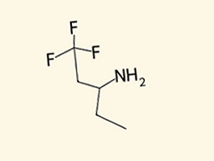 CCC(N)CC(F)(F)F